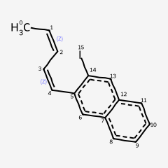 C/C=C\C=C/c1cc2ccccc2cc1I